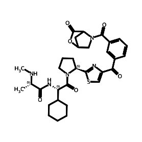 CN[C@@H](C)C(=O)N[C@H](C(=O)N1CCC[C@H]1c1nc(C(=O)c2cccc(C(=O)N3CC4CC3C(=O)O4)c2)cs1)C1CCCCC1